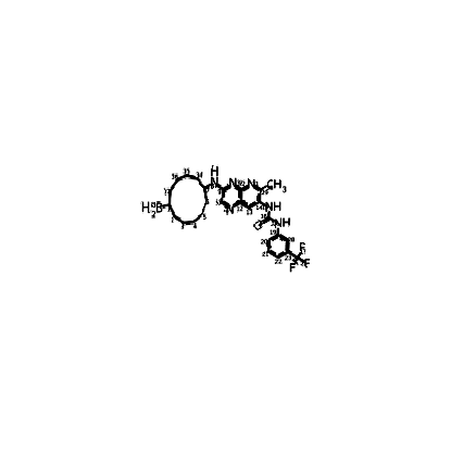 BC1CCCCCC(Nc2cnc3cc(NC(=O)Nc4cccc(C(F)(F)F)c4)c(C)nc3n2)CCCC1